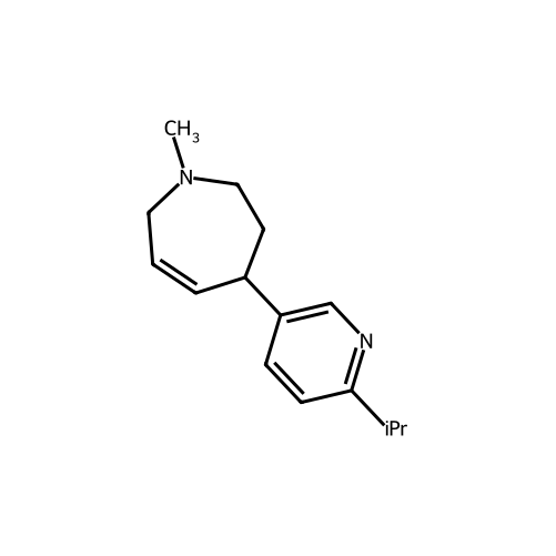 CC(C)c1ccc(C2C=CCN(C)CC2)cn1